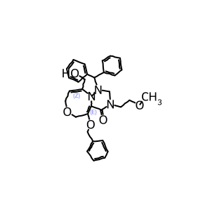 COCCN1CN(C(c2ccccc2)c2ccccc2)N2/C(CO)=C\COC/C(OCc3ccccc3)=C\2C1=O